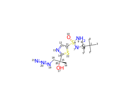 CC(C)(C)[Si](C)(C)N=S(N)(=O)c1cnc([C@](C)(O)CN=[N+]=[N-])s1